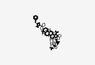 CC(C)C1=C2[C@H]3CC[C@@H]4[C@@]5(C)CC[C@H](OC(=O)[C@@H]6C[C@H](Cc7ccccc7)C6(C)C)C(C)(C)[C@@H]5CC[C@@]4(C)[C@]3(C)CC[C@@]2(NC(=O)C2(NC(=O)OC(C)(C)C)CC2)CC1=O